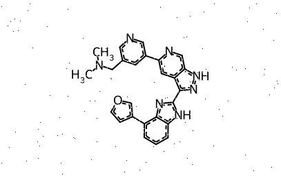 CN(C)Cc1cncc(-c2cc3c(-c4nc5c(-c6ccoc6)cccc5[nH]4)n[nH]c3cn2)c1